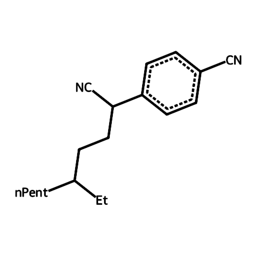 CCCCCC(CC)CCC(C#N)c1ccc(C#N)cc1